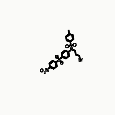 Cc1ccc(S(=O)(=O)N(CCCBr)c2ccc(S(=O)(=O)c3ccc([N+](=O)[O-])cc3)cc2)cc1